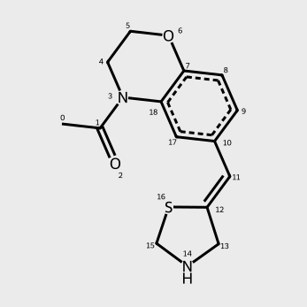 CC(=O)N1CCOc2ccc(C=C3CNCS3)cc21